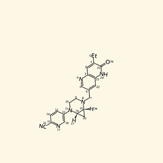 CCc1cc2ncc(CN3CCN(c4ccc(C#N)nc4)[C@H]4C[C@H]43)cc2[nH]c1=O